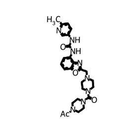 CC(=O)N1CCN(C(=O)N2CCN(Cc3nc4c(NC(=O)Nc5ccc(C)nc5)cccc4o3)CC2)CC1